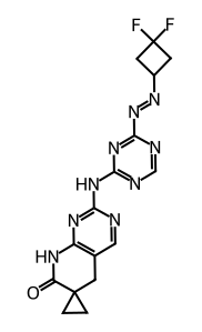 O=C1Nc2nc(Nc3ncnc(N=NC4CC(F)(F)C4)n3)ncc2CC12CC2